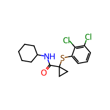 O=C(NC1CCCCC1)C1(Sc2cccc(Cl)c2Cl)CC1